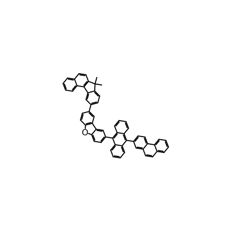 CC1(C)c2ccc(-c3ccc4oc5ccc(-c6c7ccccc7c(-c7ccc8c(ccc9ccccc98)c7)c7ccccc67)cc5c4c3)cc2-c2c1ccc1ccccc21